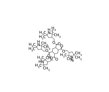 CC1(C)CC(COC(=O)C2CC(C(=O)OCC3CC(C)(C)NC3(C)C)C(C(=O)OCC3CC(C)(C)NC3(C)C)CC2C(=O)OCC2CC(C)(C)NC2(C)C)C(C)(C)N1